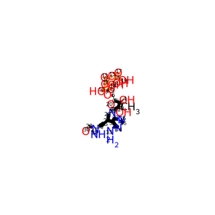 C[C@@]1(O)[C@H](O)[C@@H](COP(=O)(O)OP(=O)(O)OP(=O)(O)O)O[C@H]1n1cc(C#CN(N)C=O)c2c(N)ncnc21